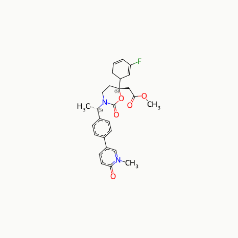 COC(=O)C[C@]1(C2C=C(F)C=CC2)CCN([C@@H](C)c2ccc(-c3ccc(=O)n(C)c3)cc2)C(=O)O1